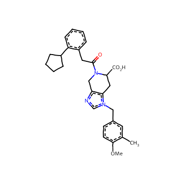 COc1ccc(Cn2cnc3c2CC(C(=O)O)N(C(=O)Cc2ccccc2C2CCCC2)C3)cc1C